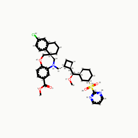 COC(=O)c1ccc2c(c1)N(C[C@@H]1CC[C@H]1[C@H](OC)[C@H]1CCC[C@H](S(=O)(=O)c3ncccn3)C1)C[C@@]1(CCCc3cc(Cl)ccc31)CO2